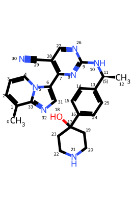 Cc1cccn2c(-c3nc(N[C@@H](C)c4ccc(C5(O)CCNCC5)cc4)ncc3C#N)cnc12